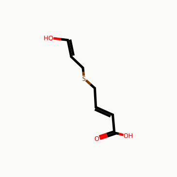 O=C(O)C=CCSCC=CO